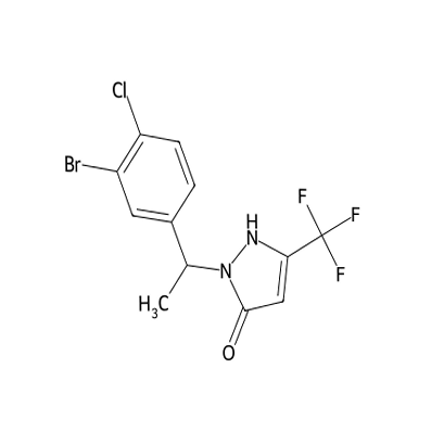 CC(c1ccc(Cl)c(Br)c1)n1[nH]c(C(F)(F)F)cc1=O